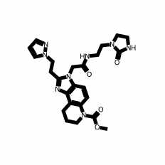 COC(=O)N1CCCc2c1ccc1c2nc(CCn2cccn2)n1CC(=O)NCCN1CCNC1=O